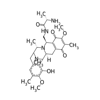 COC1=C(C)C(=O)C2=C(C1=O)[C@H](CNC(=O)[C@H](C)N)N1[C@@H](C)C3Cc4cc(C)c(OC)c(O)c4C([C@@H]1C2)N3C